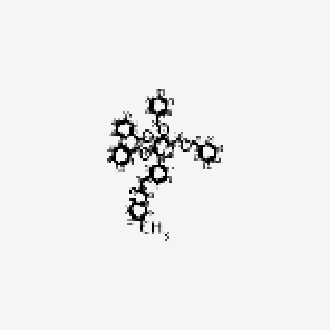 Cc1ccc2sc(Cc3cccc([C@@H]4O[C@H](COCc5ccccc5)[C@@H](OCc5ccccc5)[C@H](OCc5ccccc5)[C@H]4OCc4ccccc4)c3)cc2c1